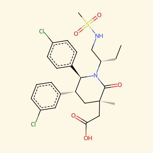 CC[C@@H](CNS(C)(=O)=O)N1C(=O)[C@@](C)(CC(=O)O)C[C@H](c2cccc(Cl)c2)[C@H]1c1ccc(Cl)cc1